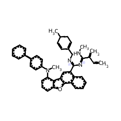 C=CC(=C)/C(=N/C(=N\CC1=CCC(C)C=C1)c1cc2c(oc3cccc(N(C)c4ccc(-c5ccccc5)cc4)c32)c2ccccc12)NC